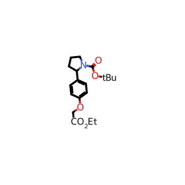 CCOC(=O)COc1ccc(C2CCCN2C(=O)OC(C)(C)C)cc1